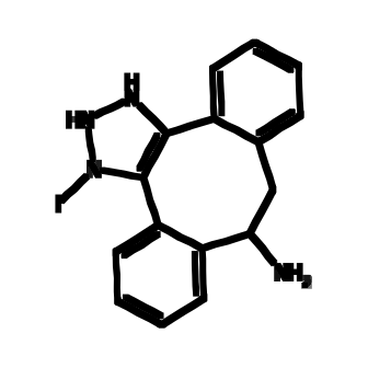 NC1Cc2ccccc2C2=C(c3ccccc31)N(I)NN2